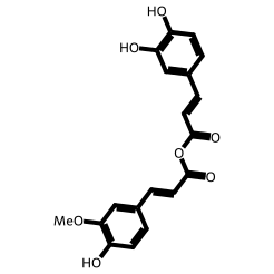 COc1cc(C=CC(=O)OC(=O)/C=C/c2ccc(O)c(O)c2)ccc1O